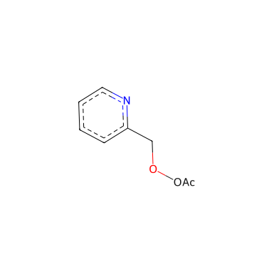 CC(=O)OOCc1ccccn1